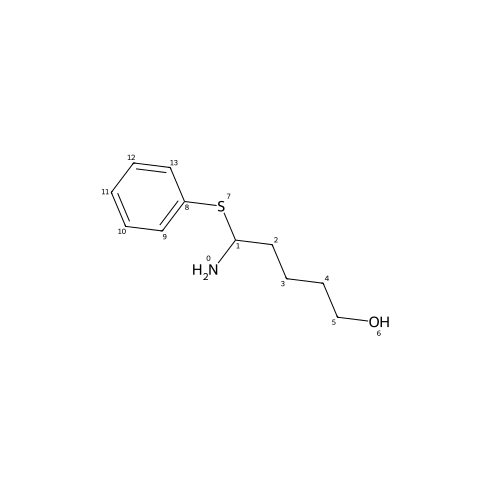 NC(CCCCO)Sc1ccccc1